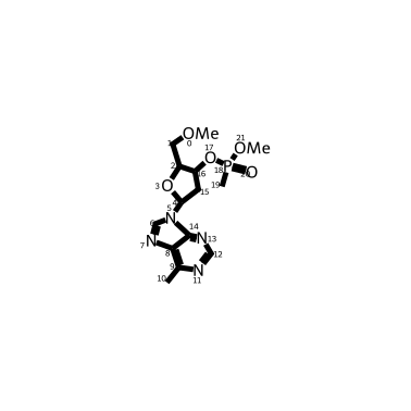 COCC1OC(n2cnc3c(C)ncnc32)CC1OP(C)(=O)OC